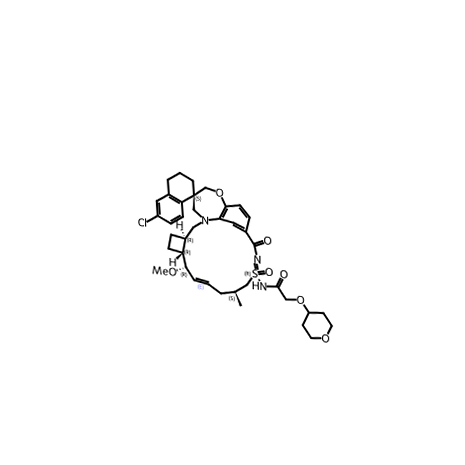 CO[C@H]1/C=C/C[C@H](C)C[S@@](=O)(NC(=O)COC2CCOCC2)=NC(=O)c2ccc3c(c2)N(C[C@@H]2CC[C@H]21)C[C@@]1(CCCc2cc(Cl)ccc21)CO3